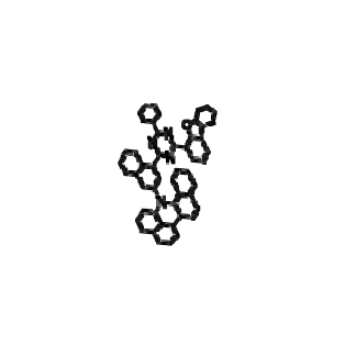 c1ccc(-c2nc(-c3cc(N4c5c(ccc6ccccc56)-c5cccc6cccc4c56)cc4ccccc34)nc(-c3cccc4c3oc3ccccc34)n2)cc1